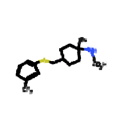 CC(C)(C)C1(NC(=O)O)CCC(CSc2cccc(C(F)(F)F)c2)CC1